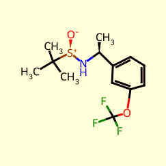 C[C@H](N[S@+]([O-])C(C)(C)C)c1cccc(OC(F)(F)F)c1